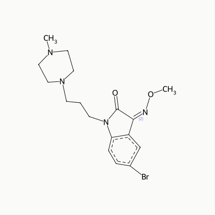 CO/N=C1\C(=O)N(CCCN2CCN(C)CC2)c2ccc(Br)cc21